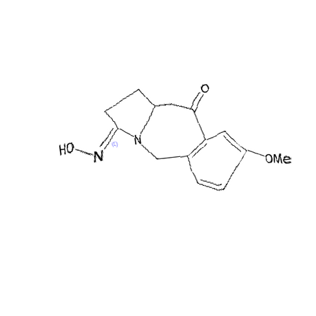 COc1ccc2c(c1)C(=O)C1CC/C(=N\O)N1C2